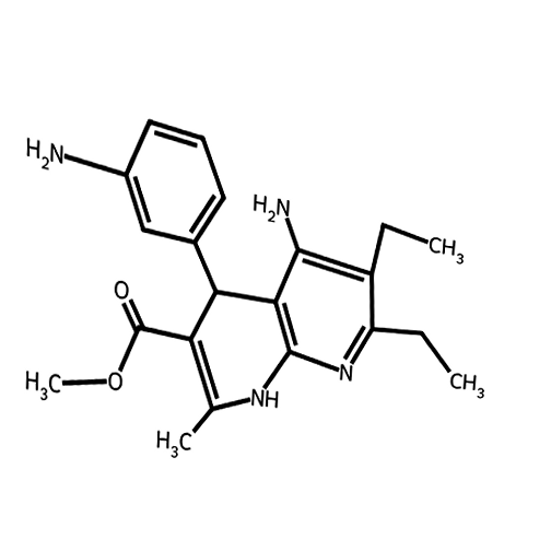 CCc1nc2c(c(N)c1CC)C(c1cccc(N)c1)C(C(=O)OC)=C(C)N2